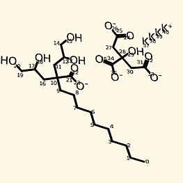 CCCCCCCCCCC(CC(O)CO)(CC(O)CO)C(=O)[O-].O=C([O-])CC(O)(CC(=O)[O-])C(=O)[O-].[K+].[K+].[K+].[K+]